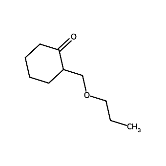 CCCOCC1CCCCC1=O